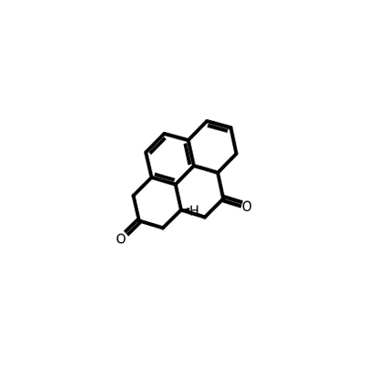 O=C1Cc2ccc3c4c2[C@@H](C1)CC(=O)C4CC=C3